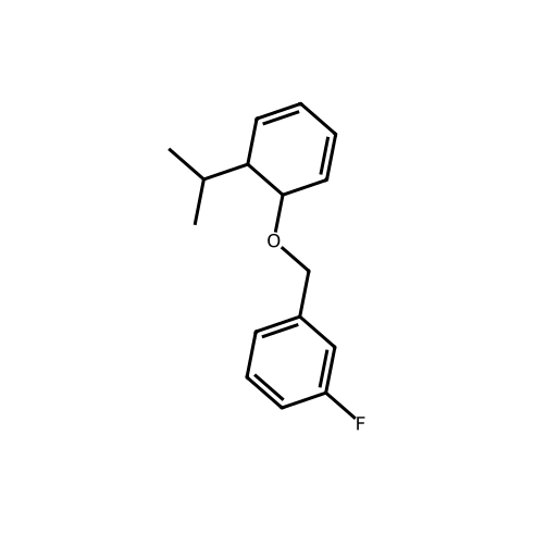 CC(C)C1C=CC=CC1OCc1cccc(F)c1